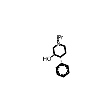 CC(C)N1CC[C@H](c2ccccc2)[C@@H](O)C1